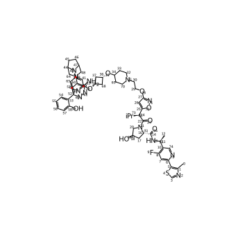 Cc1ncsc1-c1cc(F)c([C@H](C)NC(=O)[C@@H]2C[C@@H](O)CN2C(=O)[C@H](c2cc(OCCN3CCC(O[C@H]4C[C@H](Oc5cc(N6C7CCC6CN(c6cc(-c8ccccc8O)nnc6N)C7)ccn5)C4)CC3)no2)C(C)C)cn1